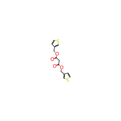 O=C(CC(=O)OCc1ccsc1)OCc1ccsc1